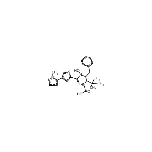 Cn1nccc1-c1csc(C(=O)N(O)C(Cc2ccccc2)C(NC(=O)O)C(C)(C)C)c1